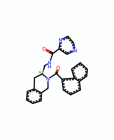 O=C(NC[C@@H]1Cc2ccccc2CN1C(=O)c1cccc2ccccc12)c1cnccn1